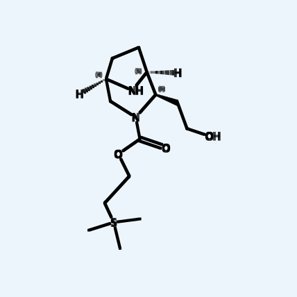 CS(C)(C)CCOC(=O)N1C[C@H]2CC[C@H](N2)[C@H]1CCO